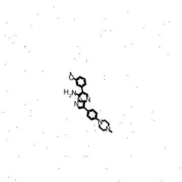 COc1cccc(-c2cnc3c(-c4ccc(N5CCN(C)CC5)cc4)cnn3c2N)c1